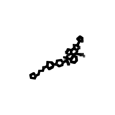 C[C@](C(=O)N1CCN(c2ccc(OCCCN3CCCC3)cc2)CC1)(c1ccccc1)n1ncc2c1nc(N)n1nc(-c3ccco3)nc21